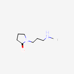 CC(C)NCCCN1CCCC1=O